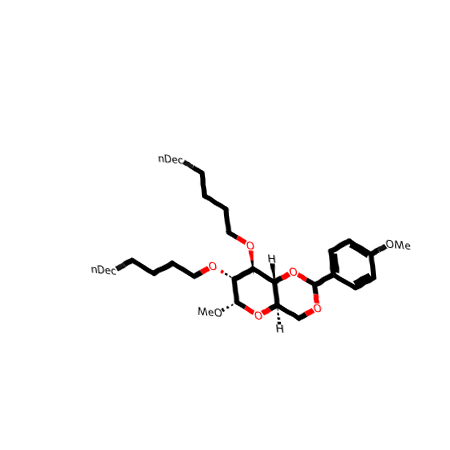 CCCCCCCCCCCCCCO[C@@H]1[C@@H](OCCCCCCCCCCCCCC)[C@@H](OC)O[C@@H]2COC(c3ccc(OC)cc3)O[C@@H]12